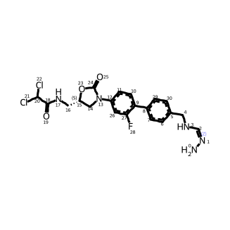 N/N=C\NCc1ccc(-c2ccc(N3C[C@H](CNC(=O)C(Cl)Cl)OC3=O)cc2F)cc1